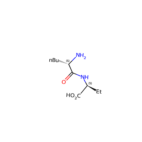 CCCC[C@H](N)C(=O)N[C@@H](CC)C(=O)O